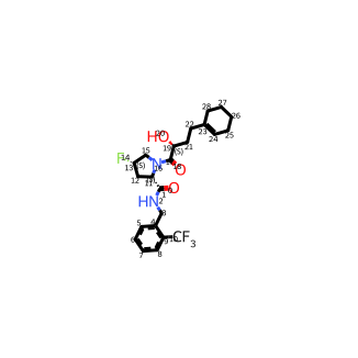 O=C(NCc1ccccc1C(F)(F)F)[C@@H]1C[C@H](F)CN1C(=O)[C@@H](O)CCC1=CCCCC1